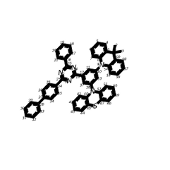 CC1(C)c2ccccc2N(c2cc(-c3nc(-c4ccccc4)nc(-c4ccc(-c5ccccc5)cc4)n3)cc(N3c4ccccc4Sc4ccccc43)c2)c2ccccc21